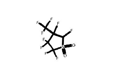 O=S1(=O)C(F)C(F)(C(F)(F)F)C(F)(F)C1(F)F